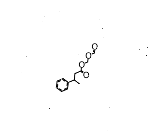 CC(CC(=O)OCOC=O)c1ccccc1